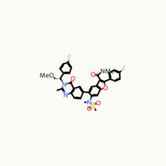 CNC(=O)c1c(-c2ccc(F)cc2)oc2cc(N(C)S(C)(=O)=O)c(-c3ccc4nc(C)n([C@H](COC)c5ccc(F)cc5)c(=O)c4c3)cc12